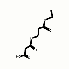 CCOC(=O)COOC(=O)CC(=O)O